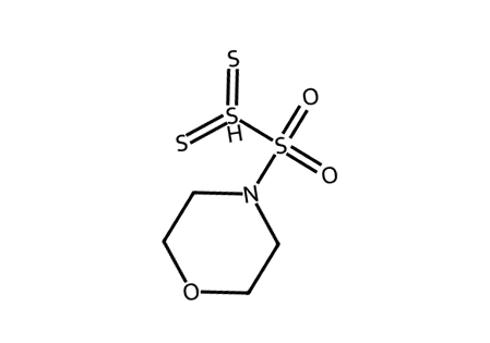 O=S(=O)(N1CCOCC1)[SH](=S)=S